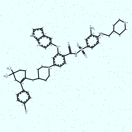 CC1(C)CCC(CC2CCN(c3ccc(C(=O)NS(=O)(=O)c4ccc(NCC5CCOCC5)c([N+](=O)[O-])c4)c(Oc4cnc5[nH]ccc5c4)c3)CC2)=C(c2ccc(Cl)cc2)C1